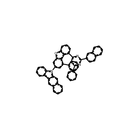 c1ccc(-c2nc(-c3ccc4ccccc4c3)nc(-c3cccc4oc5cc(-n6c7ccccc7c7cc8ccccc8cc76)cc(-c6ccccc6)c5c34)n2)cc1